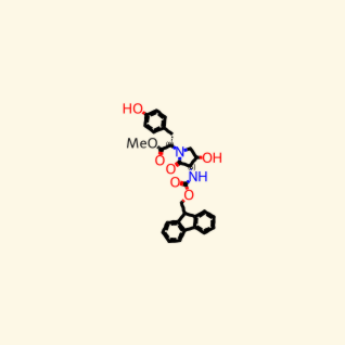 COC(=O)[C@H](Cc1ccc(O)cc1)N1CC(O)[C@H](NC(=O)OCC2c3ccccc3-c3ccccc32)C1=O